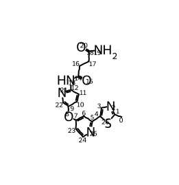 Cc1ncc(-c2cc(Oc3ccc(NC(=O)CCC(N)=O)nc3)ccn2)s1